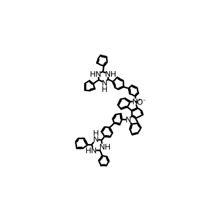 [O-][N+]1(c2cccc(-c3ccc(C4NC(c5ccccc5)NC(c5ccccc5)N4)cc3)c2)c2ccccc2-c2c1ccc1c3ccccc3n(-c3cccc(-c4ccc(C5NC(c6ccccc6)NC(c6ccccc6)N5)cc4)c3)c21